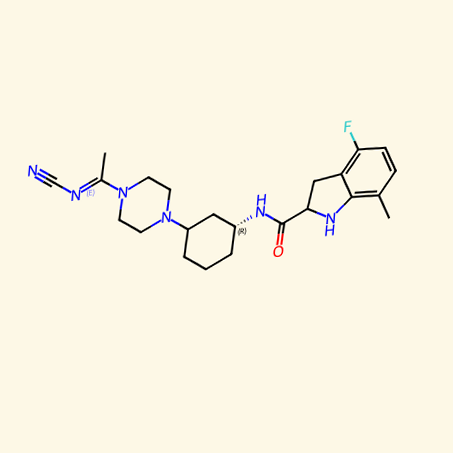 C/C(=N\C#N)N1CCN(C2CCC[C@@H](NC(=O)C3Cc4c(F)ccc(C)c4N3)C2)CC1